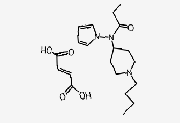 CCCCN1CCC(N(C(=O)CC)n2cccc2)CC1.O=C(O)C=CC(=O)O